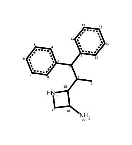 CC(C(c1ccccc1)c1ccccc1)C1NCC1N